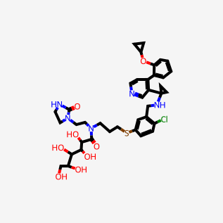 O=C1NCCN1CCN(CCCSc1ccc(Cl)c(CNC2(c3cnccc3-c3ccccc3OC3CC3)CC2)c1)C(=O)C(O)C(O)C(O)C(O)CO